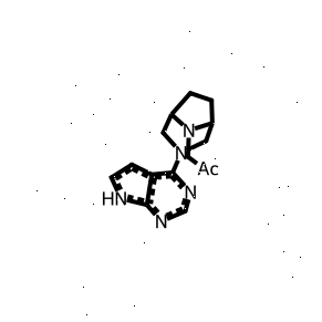 CC(=O)CN1C2CCC1CN(c1ncnc3[nH]ccc13)C2